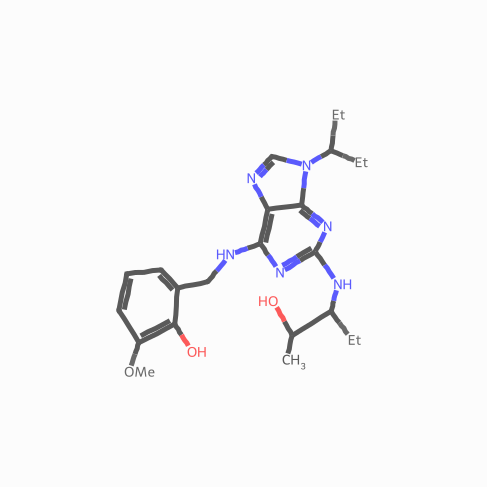 CCC(Nc1nc(NCc2cccc(OC)c2O)c2ncn(C(CC)CC)c2n1)C(C)O